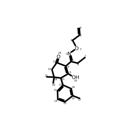 C=CCON=C(CC)C1=C(O)C(c2cccc(C)c2)C(C)(C)CC1=O